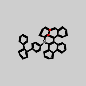 c1ccc(-c2ccccc2-c2ccc(N(c3ccccc3)c3c(-c4cccc5ccccc45)c4ccccc4c4ccccc34)cc2)cc1